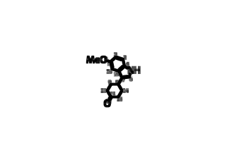 COc1ccc2[nH]cc(C3CCC(=O)CC3)c2c1